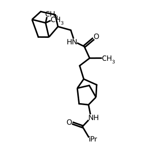 CC(C)C(=O)NC1CC2CC1CC2CC(C)C(=O)NCC1CCC2CC1C2(C)C